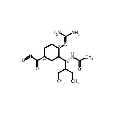 CCC(CC)[C@@H](NC(C)=O)C1C[C@@H](C(=O)N=O)CC[C@H]1N=C(N)N